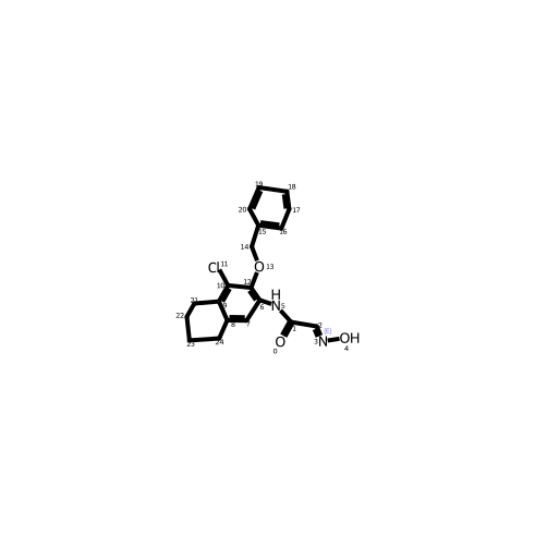 O=C(/C=N/O)Nc1cc2c(c(Cl)c1OCc1ccccc1)CCCC2